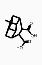 CC12C3C4C(C(=O)O)C(C(=O)O)C5C3C1C5C42